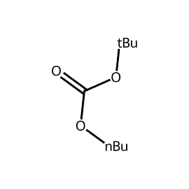 C[CH]CCOC(=O)OC(C)(C)C